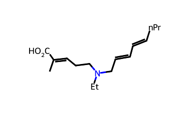 CCCC=CC=CCN(CC)CCC=C(C)C(=O)O